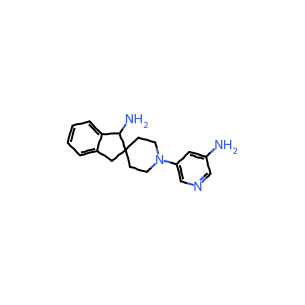 Nc1cncc(N2CCC3(CC2)Cc2ccccc2C3N)c1